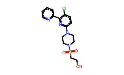 O=S(=O)(CCO)N1CCN(c2ccc(Cl)c(-c3ccccn3)n2)CC1